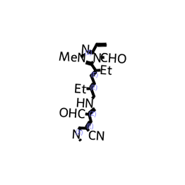 C=C/C(=N/NC)N(C=O)C(=C)/C(=C/C=C(\CC)CN/C=C(C=O)/C=C(C#N)\C=N/C)CC